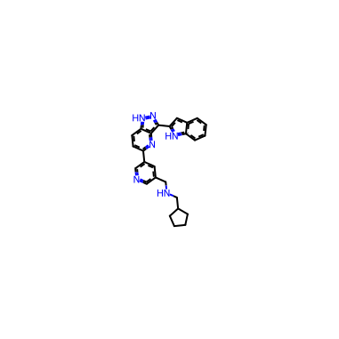 c1ccc2[nH]c(-c3n[nH]c4ccc(-c5cncc(CNCC6CCCC6)c5)nc34)cc2c1